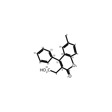 Cc1ccc2oc(=O)c(CC(=O)O)c(-c3ccccc3)c2c1